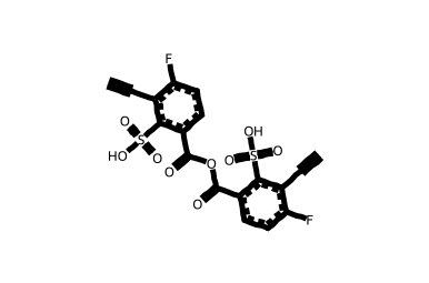 C#Cc1c(F)ccc(C(=O)OC(=O)c2ccc(F)c(C#C)c2S(=O)(=O)O)c1S(=O)(=O)O